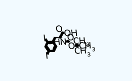 CC(C)(C)OC(=O)N[C@@H](Cc1ccc(I)cc1I)C(=O)O